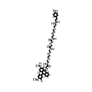 CC/N=c1\cc2oc3cc(NCC)c(C)cc3c(-c3ccccc3C(=O)OCC(=O)NCCOCCOCCNC(=O)COCC(=O)NCCOCCOCCNN/C=C/c3ccc(O)cc3)c-2cc1C